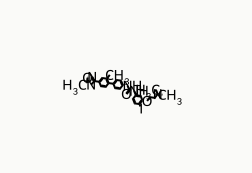 Cc1nc(-c2ccc(-c3ccc(NC(=O)Nc4ccc(I)c(OCCN(C)C)c4)cc3)c(C)c2)no1